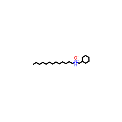 CCCCCCCCCCCCC[NH+]([O-])CC1CCCCC1